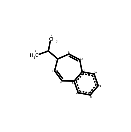 CC(C)C1C=Cc2ccccc2C=C1